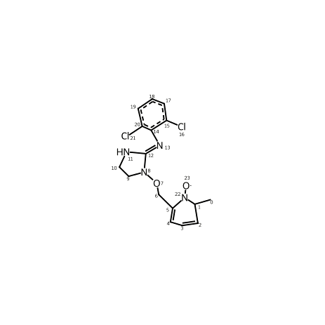 CC1C=CC=C(CON2CCNC2=Nc2c(Cl)cccc2Cl)N1[O]